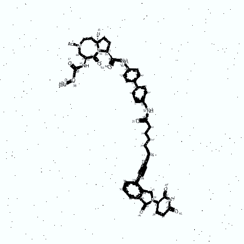 CC(=O)N1CC[C@H]2CC[C@@H](C(=O)Nc3ccc(-c4ccc(NC(=O)CCCCCC#Cc5cccc6c5CN(C5CCC(=O)NC5=O)C6=O)cc4)cc3)N2C(=O)[C@@H](NC(=O)OC(C)(C)C)C1